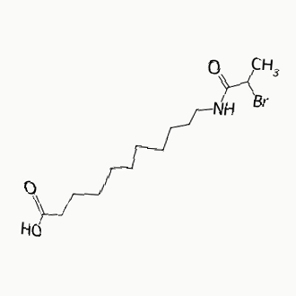 CC(Br)C(=O)NCCCCCCCCCCC(=O)O